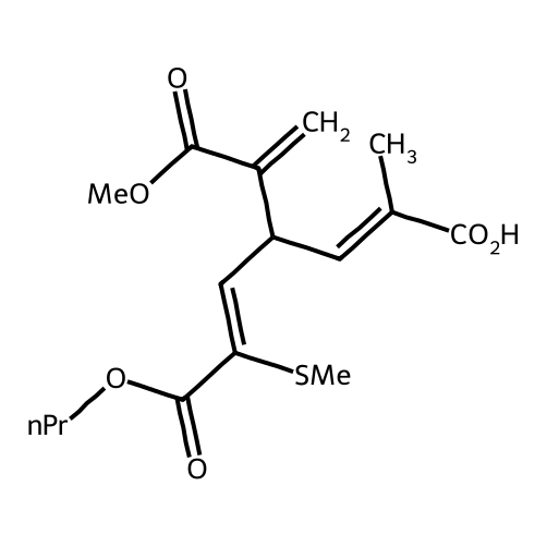 C=C(C(=O)OC)C(C=C(C)C(=O)O)C=C(SC)C(=O)OCCC